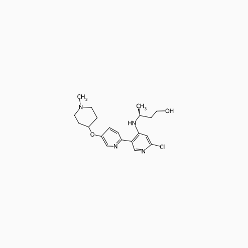 C[C@@H](CCO)Nc1cc(Cl)ncc1-c1ccc(OC2CCN(C)CC2)cn1